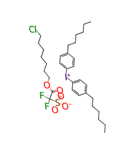 CCCCCCc1ccc([I+]c2ccc(CCCCCC)cc2)cc1.O=C(OCCCCCCCCl)C(F)(F)S(=O)(=O)[O-]